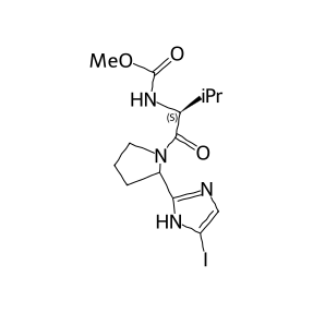 COC(=O)N[C@H](C(=O)N1CCCC1c1ncc(I)[nH]1)C(C)C